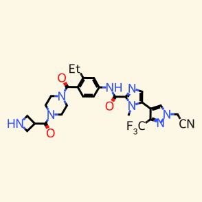 CCc1cc(NC(=O)c2ncc(-c3cn(CC#N)nc3C(F)(F)F)n2C)ccc1C(=O)N1CCN(C(=O)C2CNC2)CC1